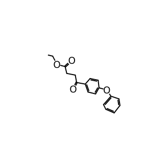 CCOC(=O)CCC(=O)c1ccc(Oc2ccccc2)cc1